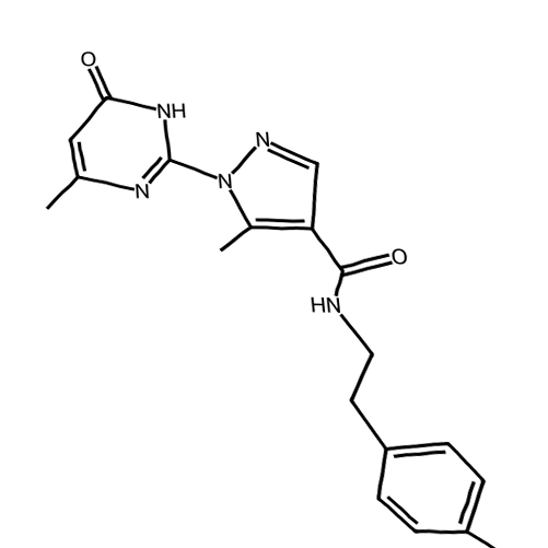 Cc1cc(=O)[nH]c(-n2ncc(C(=O)NCCc3ccc(F)cc3)c2C)n1